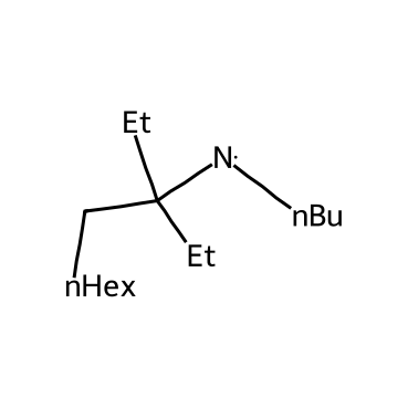 CCCCCCCC(CC)(CC)[N]CCCC